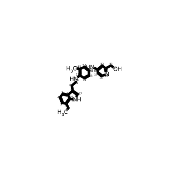 CCc1cccc2c(CCNc3ccc(Nc4ccnc(CO)c4)cc3C)c[nH]c12